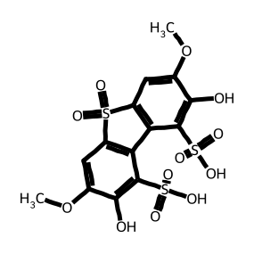 COc1cc2c(c(S(=O)(=O)O)c1O)-c1c(cc(OC)c(O)c1S(=O)(=O)O)S2(=O)=O